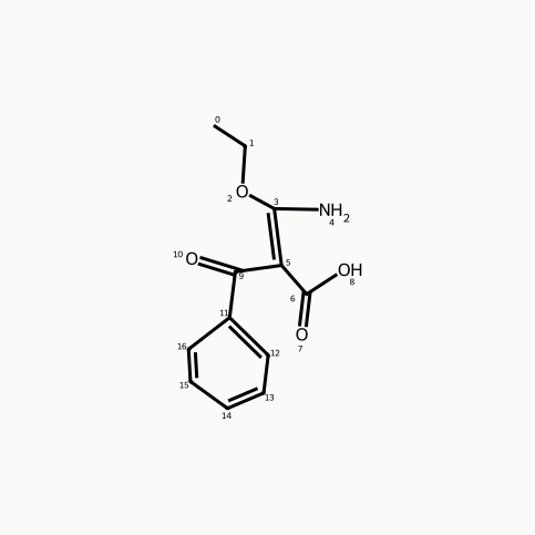 CCOC(N)=C(C(=O)O)C(=O)c1ccccc1